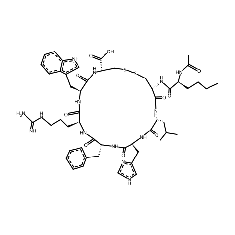 CCCC[C@H](NC(C)=O)C(=O)N[C@H]1CSSC[C@@H](C(=O)O)NC(=O)[C@H](Cc2c[nH]c3ccccc23)NC(=O)[C@H](CCCNC(=N)N)NC(=O)[C@@H](Cc2ccccc2)NC(=O)[C@H](Cc2c[nH]cn2)NC(=O)[C@@H](CC(C)C)NC1=O